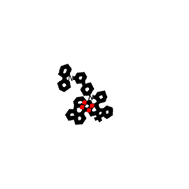 CC1(C)c2ccccc2-c2c(-c3ccccc3N(c3ccc(-c4cccc(-n5c6ccccc6c6ccccc65)c4)cc3)c3ccc(-c4cccc5cccc(-c6ccccc6)c45)cc3)cccc21